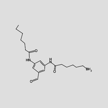 BCCCCCC(=O)Nc1cc(C=O)cc(NC(=O)CCCCCC)c1